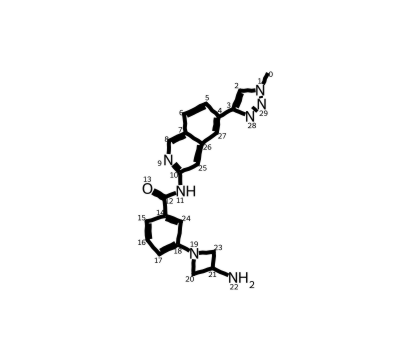 Cn1cc(-c2ccc3cnc(NC(=O)c4cccc(N5CC(N)C5)c4)cc3c2)nn1